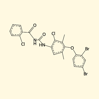 Cc1cc(NC(=O)NC(=O)c2ccccc2Cl)c(Cl)c(C)c1Oc1ccc(Br)cc1Br